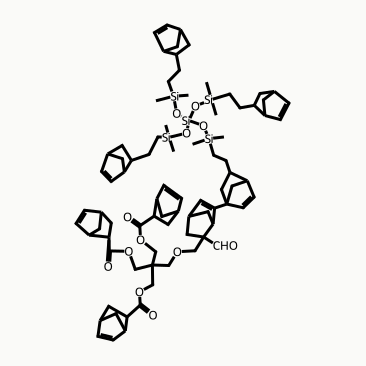 C[Si](C)(CCC1CC2C=CC1C2)O[Si](O[Si](C)(C)CCC1CC2C=CC1C2)(O[Si](C)(C)CCC1CC2C=CC1C2)O[Si](C)(C)CCC1CC2(C3=CC4CC3C(C=O)(COCC(COC(=O)C3CC5C=CC3C5)(COC(=O)C3CC5C=CC3C5)COC(=O)C3CC5C=CC3C5)C4)C=CC1C2